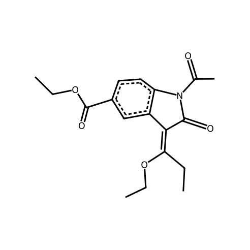 CCOC(=O)c1ccc2c(c1)C(=C(CC)OCC)C(=O)N2C(C)=O